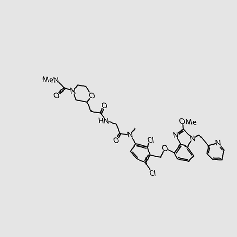 CNC(=O)N1CCOC(CC(=O)NCC(=O)N(C)c2ccc(Cl)c(COc3cccc4c3nc(OC)n4Cc3ccccn3)c2Cl)C1